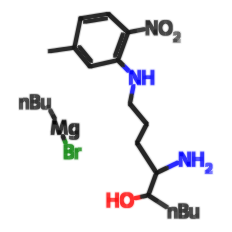 CCCCC(O)C(N)CCCNc1cc(C)ccc1[N+](=O)[O-].CCC[CH2][Mg][Br]